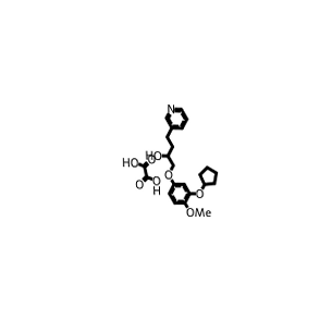 COc1ccc(OCC(O)CCc2cccnc2)cc1OC1CCCC1.O=C(O)C(=O)O